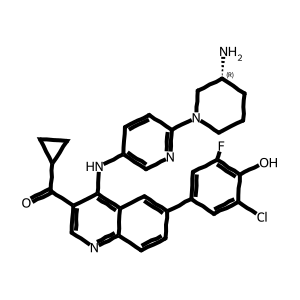 N[C@@H]1CCCN(c2ccc(Nc3c(C(=O)C4CC4)cnc4ccc(-c5cc(F)c(O)c(Cl)c5)cc34)cn2)C1